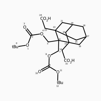 CC(C)(C)OC(=O)OCC1(COC(=O)OC(C)(C)C)C2(CC(=O)O)CC3CC(C2)CC1(CC(=O)O)C3